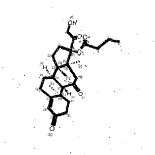 CCCC(=O)O[C@]1(C(=O)CO)CC[C@H]2[C@@H]3CCC4=CC(=O)CC[C@]4(C)[C@H]3C(=O)C[C@@]21C